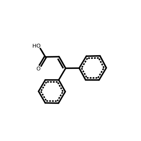 O=C(O)C=C(c1ccccc1)c1ccccc1